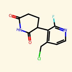 O=C1CCC(c2c(CCl)ccnc2F)C(=O)N1